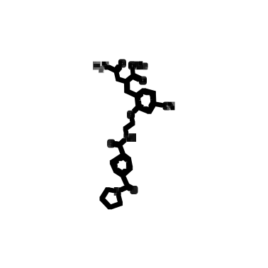 COC(=O)C(=Cc1ccc(C#N)cc1OCCNC(=O)c1ccc(C(=O)N2CCCC2)cc1)CC(N)=O